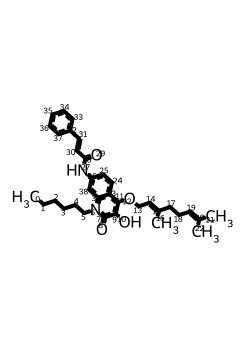 CCCCCCn1c(=O)c(O)c(OC/C=C(\C)CCC=C(C)C)c2ccc(NC(=O)/C=C/c3ccccc3)cc21